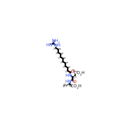 CC(C)[C@H](NC(=O)[C@H](CC(=O)O)NC(=O)CCCCCCCCCCCNC(=N)N)C(=O)O